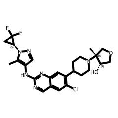 Cc1c(Nc2ncc3cc(Cl)c(C4CCN([C@]5(C)COC[C@@H]5O)CC4)cc3n2)cnn1[C@H]1CC1(F)F